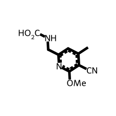 COc1nc(CNC(=O)O)cc(C)c1C#N